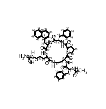 CC(=O)N[C@@H](Cc1ccccc1)C(=O)N[C@H]1CCNC(=O)C(CCCNC(=N)N)NC(=O)C(Cc2cccc3ccccc23)NC(=O)[C@@H](Cc2ccccc2)NC(=O)C2CCCN2C1=O